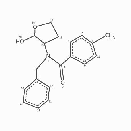 Cc1ccc(C(=O)N(Cc2ccccc2)C2CCOC2O)cc1